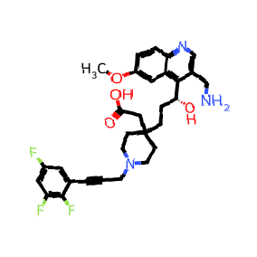 COc1ccc2ncc(CN)c([C@H](O)CCC3(CC(=O)O)CCN(CC#Cc4cc(F)cc(F)c4F)CC3)c2c1